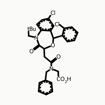 CC(C)(C)CN1C(=O)C(CC(=O)N(CC(=O)O)Cc2ccccc2)OC(c2ccccc2Cl)c2cc(Cl)ccc21